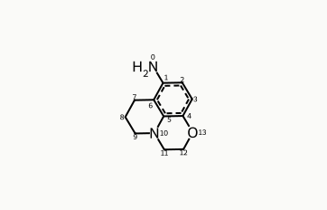 Nc1ccc2c3c1CCCN3CCO2